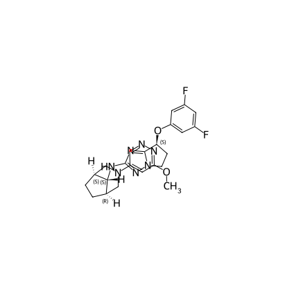 COc1cc(N2C[C@H]3CC[C@@H](C2)[C@@H]3Nc2nc3n(n2)CC[C@@H]3Oc2cc(F)cc(F)c2)cnn1